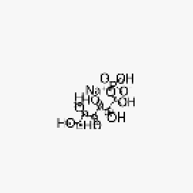 O=P([O-])(O)OC(O)[C@@H](O)[C@@H](O)[C@H](O)[C@H](O)CO.[Na+]